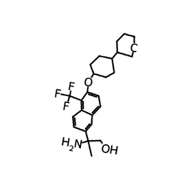 CC(N)(CO)c1ccc2c(C(F)(F)F)c(OC3CCC(C4CCCCC4)CC3)ccc2c1